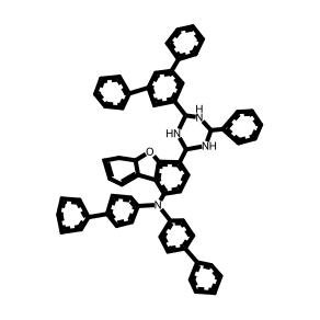 C1=CCC2Oc3c(C4NC(c5ccccc5)NC(c5cc(-c6ccccc6)cc(-c6ccccc6)c5)N4)ccc(N(c4ccc(-c5ccccc5)cc4)c4ccc(-c5ccccc5)cc4)c3C2=C1